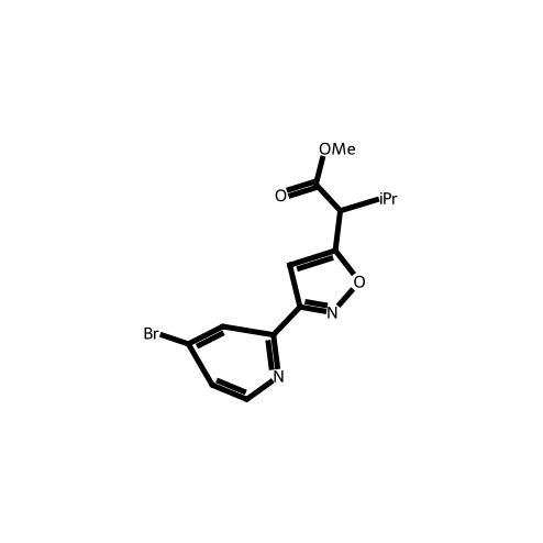 COC(=O)C(c1cc(-c2cc(Br)ccn2)no1)C(C)C